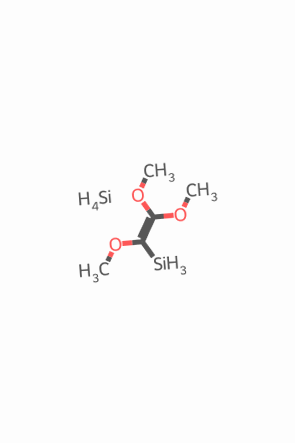 COC([SiH3])=C(OC)OC.[SiH4]